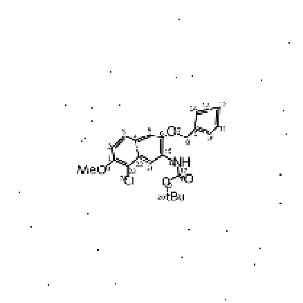 COc1ccc2cc(OCc3ccccc3)c(NC(=O)OC(C)(C)C)cc2c1Cl